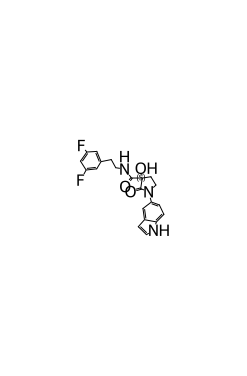 O=C(NCCc1cc(F)cc(F)c1)[C@@]1(O)CCN(c2ccc3[nH]ccc3c2)C1=O